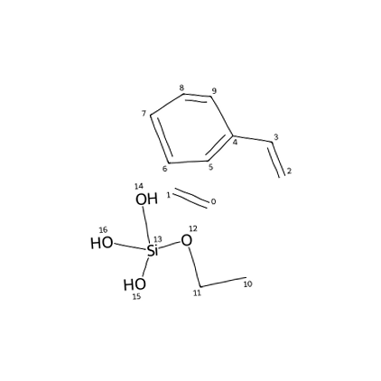 C=C.C=Cc1ccccc1.CCO[Si](O)(O)O